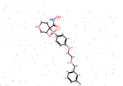 O=C(NO)C1(S(=O)(=O)c2ccc(OCCOCc3cccc(F)c3)cc2)CCOCC1